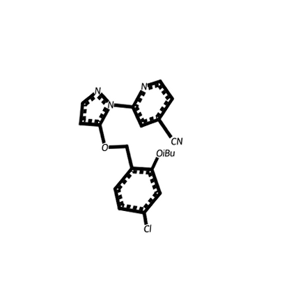 CC(C)COc1cc(Cl)ccc1COc1ccnn1-c1cc(C#N)ccn1